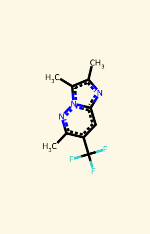 Cc1nn2c(C)c(C)nc2cc1C(F)(F)F